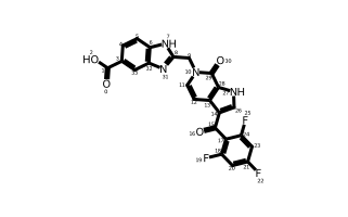 O=C(O)c1ccc2[nH]c(Cn3ccc4c(C(=O)c5c(F)cc(F)cc5F)c[nH]c4c3=O)nc2c1